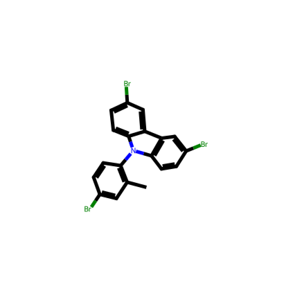 Cc1cc(Br)ccc1-n1c2ccc(Br)cc2c2cc(Br)ccc21